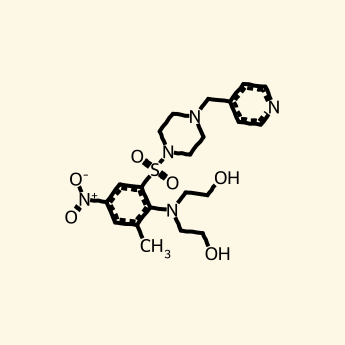 Cc1cc([N+](=O)[O-])cc(S(=O)(=O)N2CCN(Cc3ccncc3)CC2)c1N(CCO)CCO